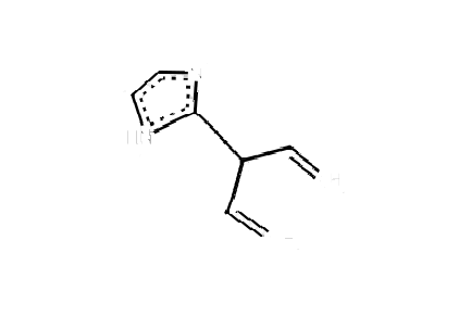 C=CC(C=C)c1ncc[nH]1